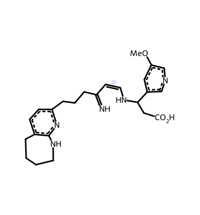 COc1cncc(C(CC(=O)O)N/C=C\C(=N)CCCc2ccc3c(n2)NCCCC3)c1